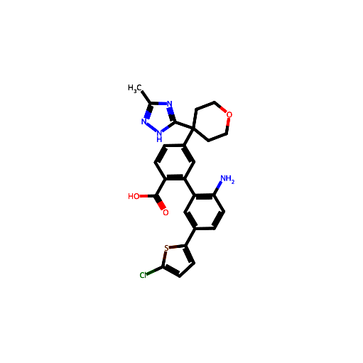 Cc1n[nH]c(C2(c3ccc(C(=O)O)c(-c4cc(-c5ccc(Cl)s5)ccc4N)c3)CCOCC2)n1